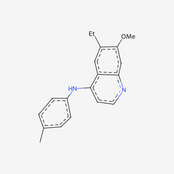 CCc1cc2c(Nc3ccc(C)cc3)ccnc2cc1OC